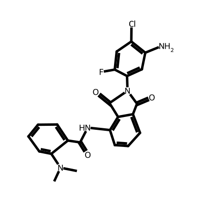 CN(C)c1ccccc1C(=O)Nc1cccc2c1C(=O)N(c1cc(N)c(Cl)cc1F)C2=O